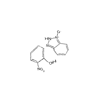 O=[N+]([O-])c1ccccc1O.[O-][n+]1[nH]nc2ccccc21